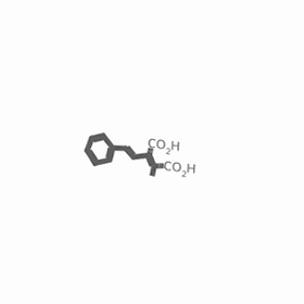 C/C(C(=O)O)=C(\C=C\c1ccccc1)C(=O)O